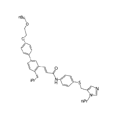 CCCCOCCOc1ccc(-c2ccc(SC(C)C)c(/C=C/C(=O)Nc3ccc(SCc4cncn4CCC)cc3)c2)cc1